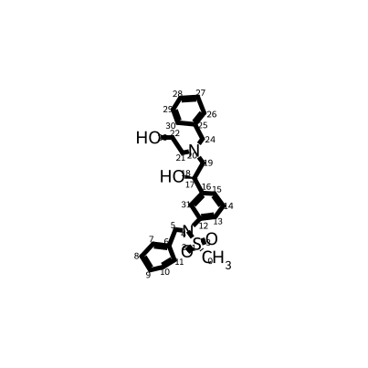 CS(=O)(=O)N(Cc1ccccc1)c1cccc([C@@H](O)CN(CCO)Cc2ccccc2)c1